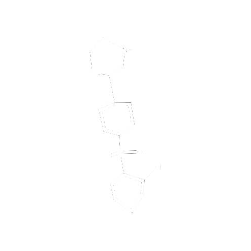 O=S(=O)(c1ccc(C2CNCCO2)cc1)c1ccccc1Cl